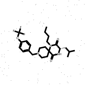 CCCCN1C(=O)[C@H](CC(C)C)NC(=O)C12CCN(Cc1ccc(OC(F)(F)F)cc1)CC2